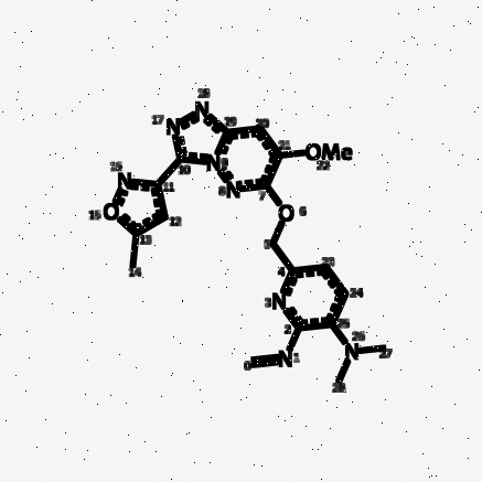 C=Nc1nc(COc2nn3c(-c4cc(C)on4)nnc3cc2OC)ccc1N(C)C